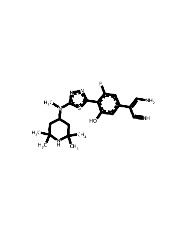 CN(c1nnc(-c2c(O)cc(/C(C=N)=C/N)cc2F)s1)C1CC(C)(C)NC(C)(C)C1